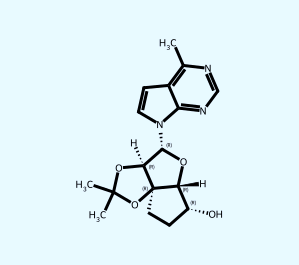 Cc1ncnc2c1ccn2[C@@H]1O[C@@H]2[C@H](O)CC[C@@]23OC(C)(C)O[C@@H]13